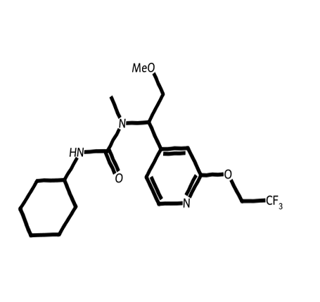 COCC(c1ccnc(OCC(F)(F)F)c1)N(C)C(=O)NC1CCCCC1